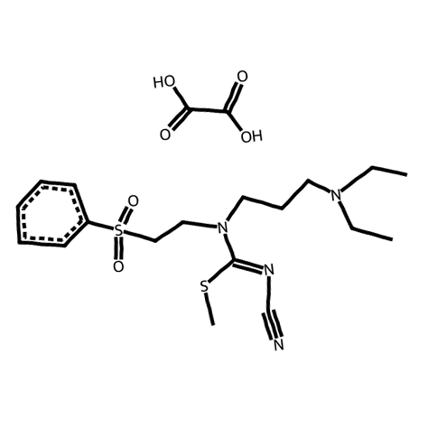 CCN(CC)CCCN(CCS(=O)(=O)c1ccccc1)/C(=N/C#N)SC.O=C(O)C(=O)O